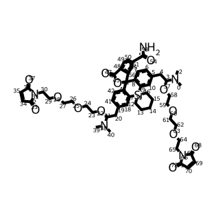 CN(C)C(Cc1ccc2c(c1)[Si]1(CCCCC1)c1cc(CC(OCCOCCOCCN3C(=O)C=CC3=O)N(C)C)ccc1C21OC(=O)c2ccc(C(N)=O)cc21)OCCOCCOCCN1C(=O)C=CC1=O